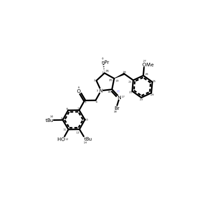 CCC[C@H]1CN(CC(=O)c2cc(C(C)(C)C)c(O)c(C(C)(C)C)c2)/C(=N\Br)[C@@H]1Cc1ccccc1OC